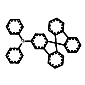 c1ccc(B(c2ccccc2)c2ccc3c(c2)-c2ccccc2C32c3ccccc3-c3ccccc32)cc1